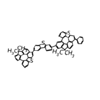 CC1(C)c2cccc3c2-c2c1ccc1c(-c4ccc5sc6cc(-c7cc8c9c(c7)C(C)(C)c7ccc%10c(-c%11ccccc%11)cc%11sc%12cccc-8c%12c%11c%10c7-9)ccc6c5c4)cc4sc5cccc-3c5c4c21